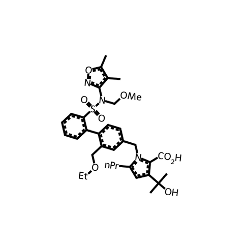 CCCc1cc(C(C)(C)O)c(C(=O)O)n1Cc1ccc(-c2ccccc2S(=O)(=O)N(COC)c2noc(C)c2C)c(COCC)c1